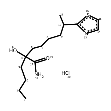 CCCCC(O)(CCCCC(C)c1nccs1)C(N)=O.Cl